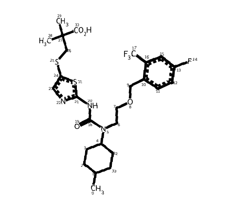 CC1CCC(N(CCOCc2ccc(F)cc2C(F)(F)F)C(=O)Nc2ncc(SCC(C)(C)C(=O)O)s2)CC1